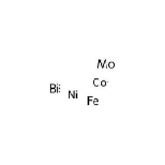 [Bi].[Co].[Fe].[Mo].[Ni]